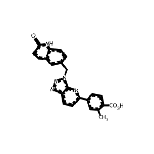 Cc1cc(-c2ccc3nnn(Cc4ccc5[nH]c(=O)ccc5c4)c3n2)ccc1C(=O)O